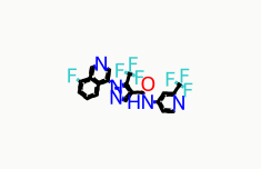 O=C(Nc1ccnc(C(F)(F)F)c1)c1cnn(-c2cncc3c(F)cccc23)c1C(F)(F)F